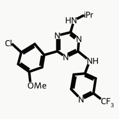 COc1cc(Cl)cc(-c2nc(Nc3ccnc(C(F)(F)F)c3)nc(NC(C)C)n2)c1